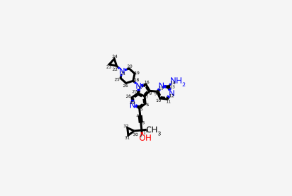 CC(O)(C#Cc1cc2c(-c3ccnc(N)n3)cn(C3CCN(C4CC4)CC3)c2cn1)C1CC1